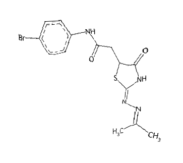 CC(C)=N/N=C1\NC(=O)C(CC(=O)Nc2ccc(Br)cc2)S1